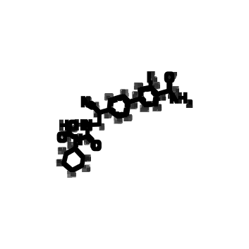 N#CC(CNC(=O)N(C(=O)O)C1CCCCC1)c1ccc(-c2ccc(C(N)=O)c(F)c2)cc1